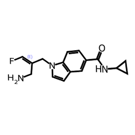 NC/C(=C\F)Cn1ccc2cc(C(=O)NC3CC3)ccc21